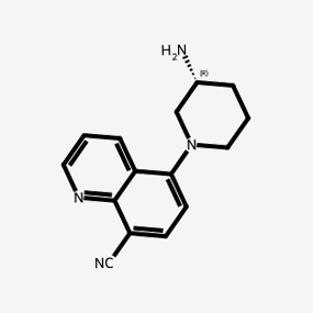 N#Cc1ccc(N2CCC[C@@H](N)C2)c2cccnc12